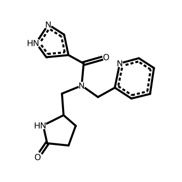 O=C1CCC(CN(Cc2ccccn2)C(=O)c2cn[nH]c2)N1